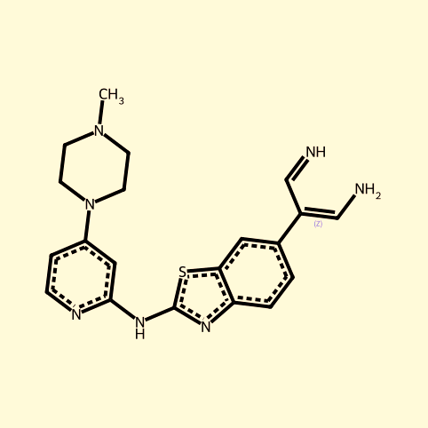 CN1CCN(c2ccnc(Nc3nc4ccc(/C(C=N)=C/N)cc4s3)c2)CC1